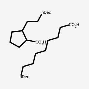 CCCCCCCCCCCCC1CCCC1C(=O)O.CCCCCCCCCCCCCCCCCC(=O)O